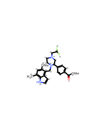 COC(=O)c1ccc(C2CN(CC(F)F)CCN2Cc2c(OC)cc(C)c3[nH]ccc23)cc1